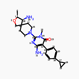 C[C@@H]1OCC2(CCN(c3nc(N)c(-c4ccc(C5CC5)cc4)c(=O)n3C)CC2)[C@@H]1N